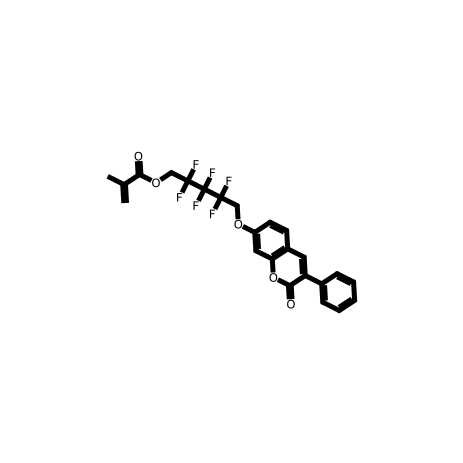 C=C(C)C(=O)OCC(F)(F)C(F)(F)C(F)(F)COc1ccc2cc(-c3ccccc3)c(=O)oc2c1